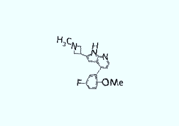 COc1ccc(F)cc1-c1ccnc2[nH]c(C3CN(C)C3)cc12